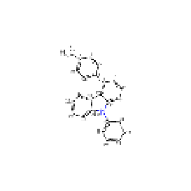 Cc1ccc(-c2cccc3c2c2ccccc2n3C2=CC=CCC2)cc1